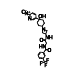 [C-]#[N+]c1ccc(C2(O)CCC(N3CC(NC(=O)CNC(=O)c4cccc(C(F)(F)F)c4)C3)CC2)cn1